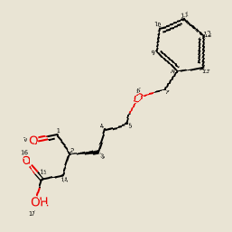 O=C[C@@H](CCCOCc1ccccc1)CC(=O)O